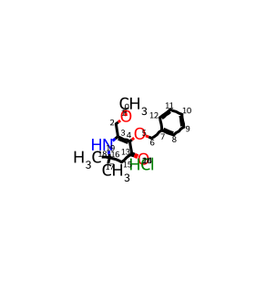 COCC1=C(OCc2ccccc2)C(=O)CC(C)(C)N1.Cl